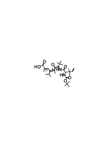 C=CC(C)(C)C(NC(=O)OC(C)(C)C)C(=O)N[C@H](C(=O)N(C)[C@H](/C=C(\C)C(=O)O)C(C)C)C(C)(C)C